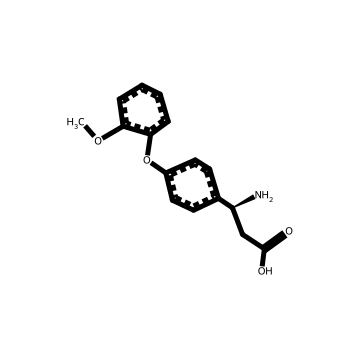 COc1ccccc1Oc1ccc([C@@H](N)CC(=O)O)cc1